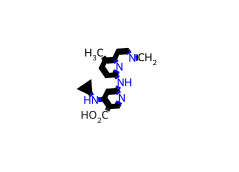 C=N/C=C\c1nc(Nc2cc(NC3CC3)c(C(=O)O)cn2)ccc1C